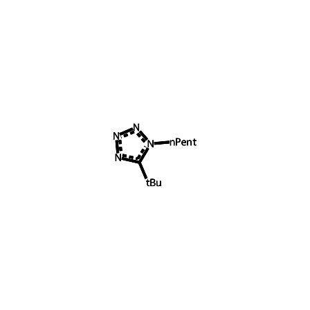 CCCCCn1nnnc1C(C)(C)C